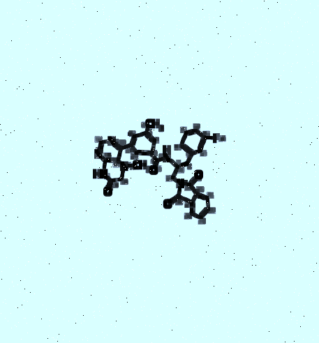 Cc1cc(C(=O)N[C@@H](Cc2cccc(F)c2)CN2C(=O)c3ccccc3C2=O)cc(-c2ncnc3c2N(C)CC(=O)N3)c1